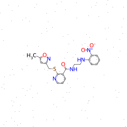 Cc1cc(CSc2ncccc2C(=O)NCCNc2ccccc2[N+](=O)[O-])no1